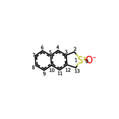 [O-][S+]1Cc2cc3ccccc3cc2C1